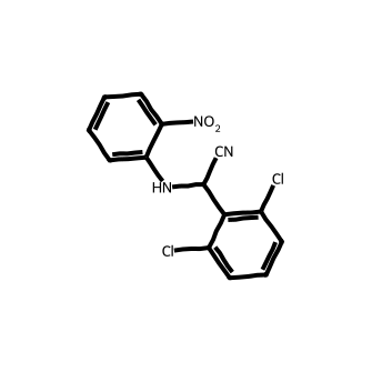 N#CC(Nc1ccccc1[N+](=O)[O-])c1c(Cl)cccc1Cl